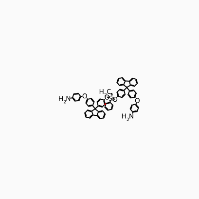 C=C[Si](Oc1ccc(C2(c3ccc(Oc4ccc(N)cc4)cc3)c3ccccc3-c3ccccc32)cc1)(Oc1ccc(C2(c3ccc(Oc4ccc(N)cc4)cc3)c3ccccc3-c3ccccc32)cc1)c1ccccc1